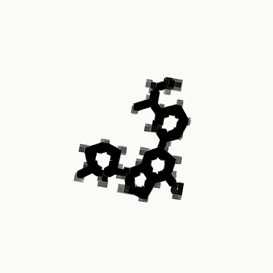 C/C(=N/O)c1cccc(-c2cc(Cl)c3cnn(-c4cccc(C)n4)c3c2)n1